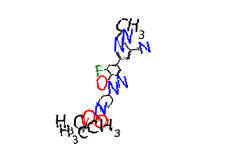 Cc1cn2cc(-c3cc(F)c4c(=O)n(C5CCN(C(=O)OC(C)(C)C)CC5)cnc4c3)cc(C#N)c2n1